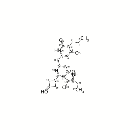 CCCn1c(=O)cc(Sc2nc(N3CC(O)C3)c3c(Cl)c(CC)[nH]c3n2)[nH]c1=O